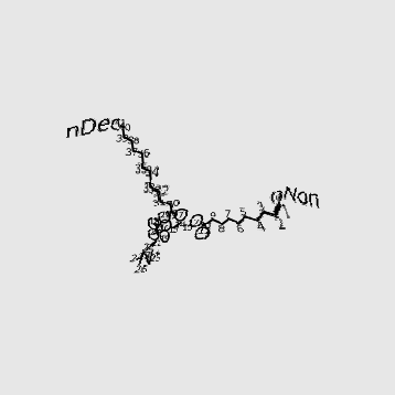 CCCCCCCCC/C=C\CCCCCCCC(=O)OC[C@H](COP(=O)([O-])OCC[N+](C)(C)C)OC(=O)CCCCCCCCCCCCCCCCCCCCC